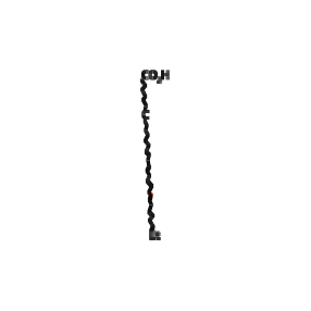 CCC=CCC=CCC=CCC=CCC=CCC=CCCCCCCCCCCCCCCC(=O)O